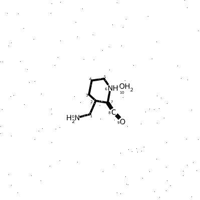 NCC1CCCNC1=C=O.O